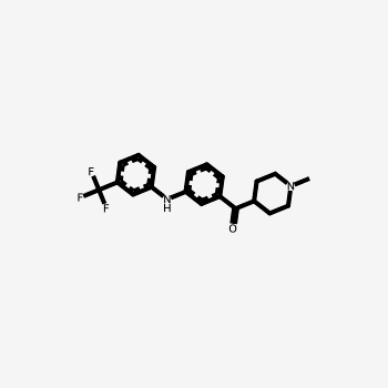 CN1CCC(C(=O)c2cccc(Nc3cccc(C(F)(F)F)c3)c2)CC1